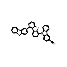 N#Cc1ccc2c(c1)c1ccccc1n2-c1cccc2c1oc1cccc(-c3ccc4sc5ccccc5c4c3)c12